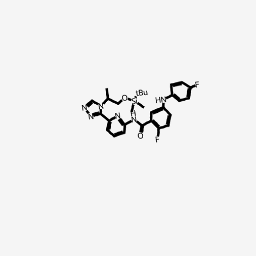 CC(CO[Si](C)(C)C(C)(C)C)n1cnnc1-c1cccc(NC(=O)c2cc(Nc3ccc(F)cc3)ccc2F)n1